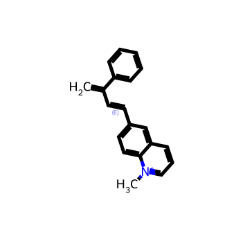 C=C(/C=C/c1ccc2c(ccc[n+]2C)c1)c1ccccc1